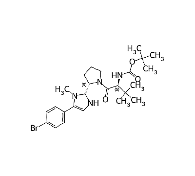 CN1C(c2ccc(Br)cc2)=CNC1[C@@H]1CCCN1C(=O)[C@@H](NC(=O)OC(C)(C)C)C(C)(C)C